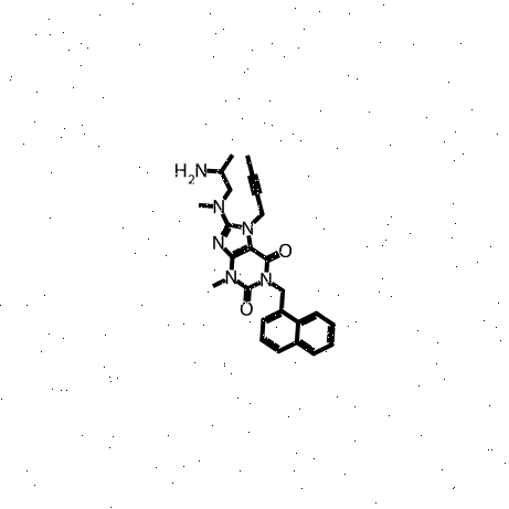 CC#CCn1c(N(C)CC(C)N)nc2c1c(=O)n(Cc1cccc3ccccc13)c(=O)n2C